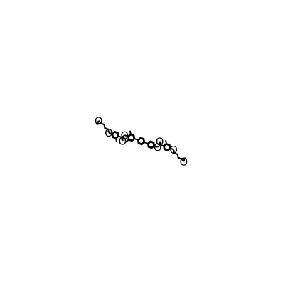 Cc1cc(OCCCC2CO2)ccc1C(=O)Oc1ccc(-c2ccc(-c3cc(C)c(OC(=O)c4ccc(OCCCC5CO5)cc4C)c(C)c3)cc2)cc1